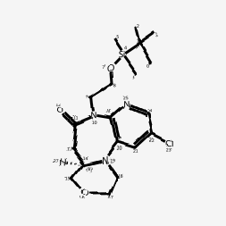 CC(C)(C)[Si](C)(C)OCCN1C(=O)C[C@@H]2COCCN2c2cc(Cl)cnc21